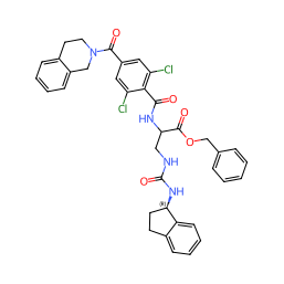 O=C(NCC(NC(=O)c1c(Cl)cc(C(=O)N2CCc3ccccc3C2)cc1Cl)C(=O)OCc1ccccc1)N[C@@H]1CCc2ccccc21